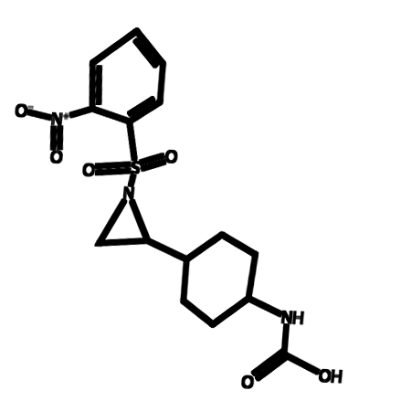 O=C(O)NC1CCC(C2CN2S(=O)(=O)c2ccccc2[N+](=O)[O-])CC1